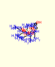 N=C(N)NCCC[C@H](NC(=O)[C@H](CCCNC(=N)N)NC(=O)[C@H](CCCNC(=N)N)NC(=O)[C@H](CCCNC(=N)N)NC(=O)[C@H](CCCNC(=N)N)NC(=O)[C@H](CCCNC(=N)N)NC(=O)[C@H](CCCCN)NC(=O)[C@@H]1CCCN1C(O)Cc1ccc(O)cc1)C(N)=O